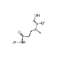 CC(C)NC(=O)CCN(C)/[N+]([O-])=N/O